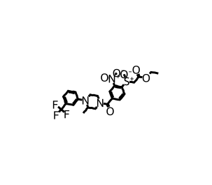 CCOC(=O)C[S+]([O-])c1ccc(C(=O)N2CCN(c3cccc(C(F)(F)F)c3)C(C)C2)cc1[N+](=O)[O-]